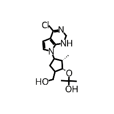 C[C@H]1C(n2ccc3c2NCN=C3Cl)CC(CO)[C@H]1OC(C)(C)O